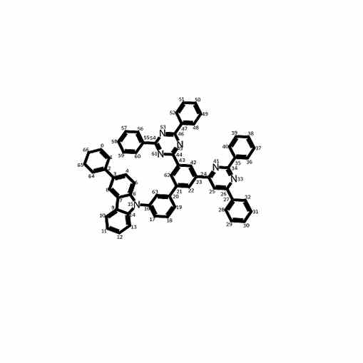 C1=CC(c2ccc3c(c2)c2ccccc2n3-c2cccc(-c3cc(-c4cc(-c5ccccc5)nc(-c5ccccc5)n4)cc(-c4nc(-c5ccccc5)nc(-c5ccccc5)n4)c3)c2)=CCC1